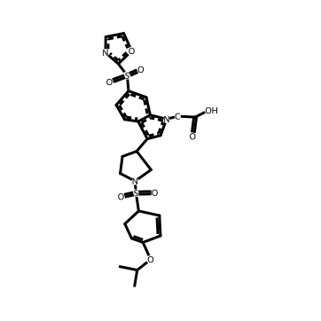 CC(C)OC1=CCC(S(=O)(=O)N2CCC(c3cn(CC(=O)O)c4cc(S(=O)(=O)c5ncco5)ccc34)C2)C=C1